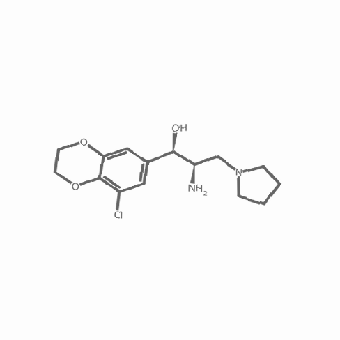 N[C@H](CN1CCCC1)[C@H](O)c1cc(Cl)c2c(c1)OCCO2